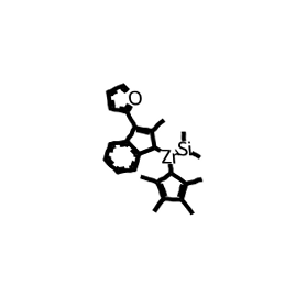 CC1=C(C)[CH]([Zr]([CH]2C(C)=C(c3ccco3)c3ccccc32)=[Si](C)C)C(C)=C1C